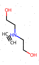 C#C.OCCNCCO